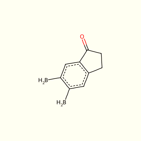 Bc1cc2c(cc1B)C(=O)CC2